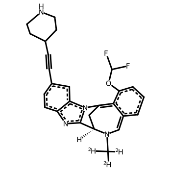 [2H]C([2H])([2H])N1C=c2cccc(OC(F)F)c2=C2C[C@@H]1c1nc3ccc(C#CC4CCNCC4)cc3n12